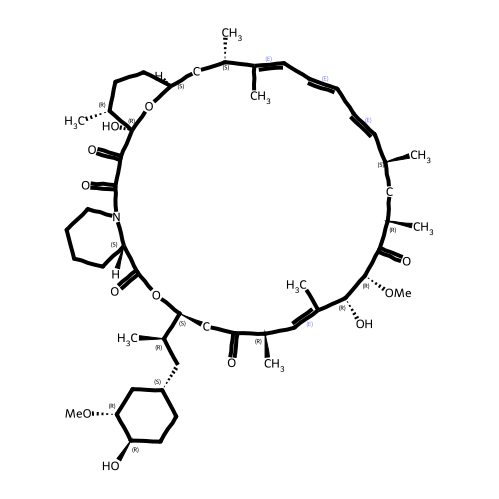 CO[C@@H]1C[C@H](C[C@@H](C)[C@@H]2CC(=O)[C@H](C)/C=C(\C)[C@@H](O)[C@@H](OC)C(=O)[C@H](C)C[C@H](C)/C=C/C=C/C=C(\C)[C@@H](C)C[C@@H]3CC[C@@H](C)[C@@](O)(O3)C(=O)C(=O)N3CCCC[C@H]3C(=O)O2)CC[C@H]1O